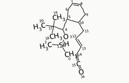 C[SiH](C)OC(C1CC=CCC1CC=CC=C=O)C(C)(C)C